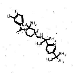 BC(B)(B)c1ccc(C(B)(B)NCC2(F)CCN(C(=O)c3ccc(F)c(Cl)c3)C(B)(B)C2)nc1